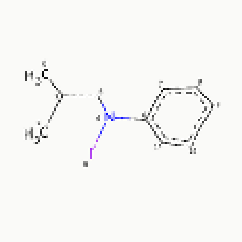 CC(C)CN(I)c1ccccc1